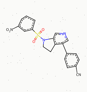 N#Cc1ccc(-c2cncc3c2CCN3S(=O)(=O)c2cccc([N+](=O)[O-])c2)cc1